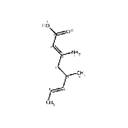 CC=CC(C)CC(N)=CC(=O)O